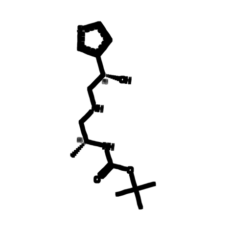 C[C@H](CNC[C@@H](O)c1ccsc1)NC(=O)OC(C)(C)C